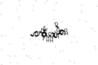 CCN1CCN(Cc2cc(F)c(NC(=O)Nc3cnc(-c4c[nH]c(=O)cc4OCCOC)nc3C)cc2C(F)(F)F)CC1